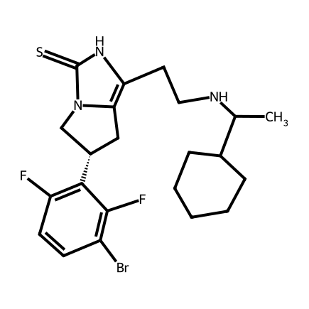 CC(NCCc1[nH]c(=S)n2c1C[C@H](c1c(F)ccc(Br)c1F)C2)C1CCCCC1